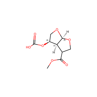 COC(=O)C1CO[C@@H]2OC[C@H](OC(=O)O)[C@H]12